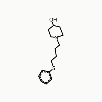 OC1CCN(CCCCSc2ccccc2)CC1